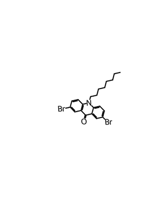 CCCCCCCCn1c2ccc(Br)cc2c(=O)c2cc(Br)ccc21